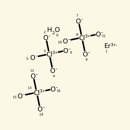 O.[Er+3].[O-][Cl+3]([O-])([O-])[O-].[O-][Cl+3]([O-])([O-])[O-].[O-][Cl+3]([O-])([O-])[O-]